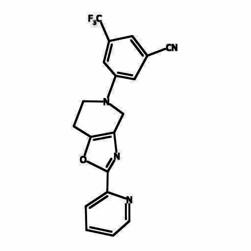 N#Cc1cc(N2CCc3oc(-c4ccccn4)nc3C2)cc(C(F)(F)F)c1